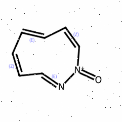 O=[N+]1\C=C/C=C/C=C\C=N\1